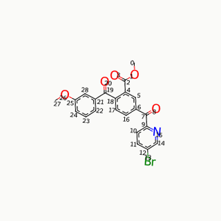 COC(=O)c1cc(C(=O)c2ccc(Br)cn2)ccc1C(=O)c1cccc(OC)c1